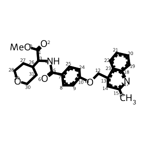 COC(=O)C(NC(=O)c1ccc(OCc2cc(C)nc3ccccc23)cc1)C1CCOCC1